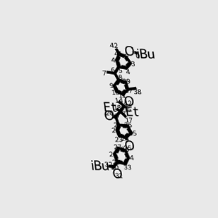 CCC(C)Oc1ccc(C(C)c2ccc(OC(C)(CC)C(C)(CC)C(=O)c3ccc(Oc4ccc(C(=O)C(C)CC)cc4)cc3)c(C)c2)cc1C